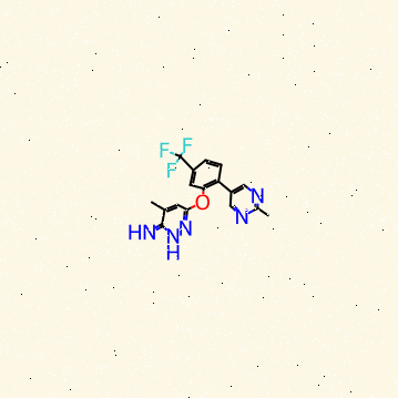 Cc1ncc(-c2ccc(C(F)(F)F)cc2Oc2cc(C)c(=N)[nH]n2)cn1